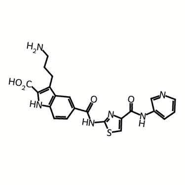 NCCCc1c(C(=O)O)[nH]c2ccc(C(=O)Nc3nc(C(=O)Nc4cccnc4)cs3)cc12